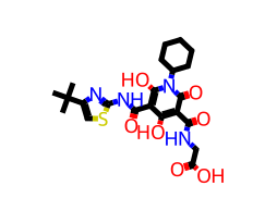 CC(C)(C)c1csc(NC(=O)c2c(O)c(C(=O)NCC(=O)O)c(=O)n(C3CCCCC3)c2O)n1